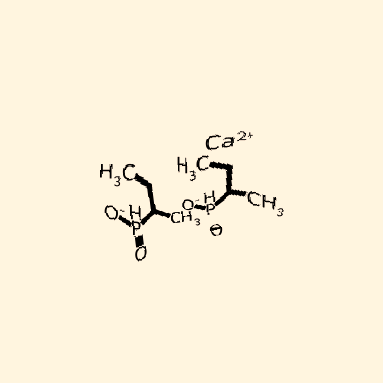 CCC(C)[PH](=O)[O-].CCC(C)[PH](=O)[O-].[Ca+2]